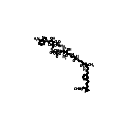 CC(C)(CCCc1cccc(CCCC2(COC=O)CC2)c1)CC(=O)CCNC(=O)CCNC(=O)C(O)C(C)(C)COP(=O)(O)OP(=O)(O)OCC1OC(n2cnc3c(N)ncnc32)C(O)C1OP(=O)(O)O